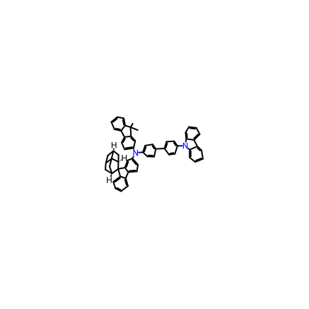 CC1(C)c2ccccc2-c2ccc(N(c3ccc(-c4ccc(-n5c6ccccc6c6ccccc65)cc4)cc3)c3ccc4c(c3)C3(c5ccccc5-4)[C@H]4CC5C[C@H](C4)C[C@H]3C5)cc21